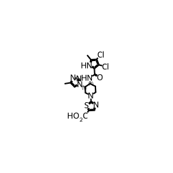 Cc1cn([C@H]2CN(c3ncc(C(=O)O)s3)CC[C@H]2NC(=O)c2[nH]c(C)c(Cl)c2Cl)nn1